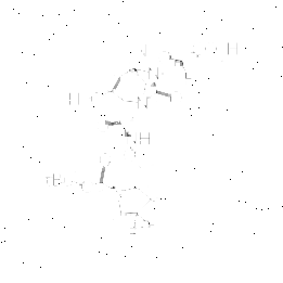 CC1=C[C@@H]2CN(C(=O)N2O[C@@H](F)C(=O)O)[C@@H]1C(=O)NOC[C@@H]1CC(F)(F)CN1C(=O)OC(C)(C)C